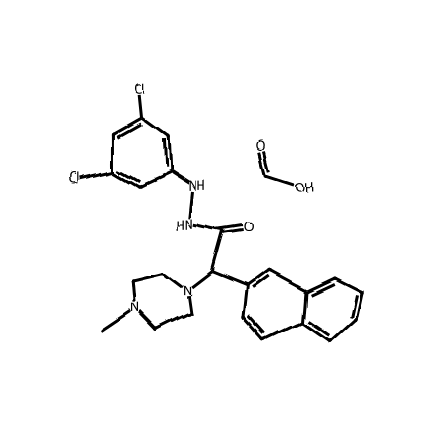 CN1CCN(C(C(=O)NNc2cc(Cl)cc(Cl)c2)c2ccc3ccccc3c2)CC1.O=CO